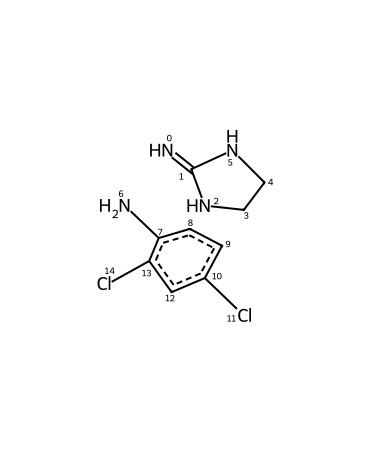 N=C1NCCN1.Nc1ccc(Cl)cc1Cl